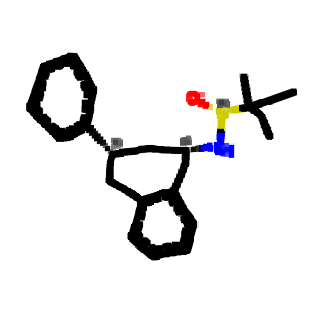 CC(C)(C)[S@@+]([O-])N[C@H]1C[C@@H](c2ccccc2)Cc2ccccc21